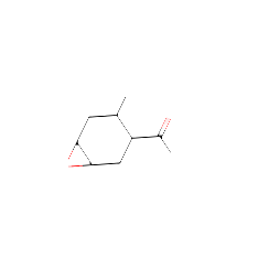 CC(C)COC(=O)C1CC2OC2CC1C